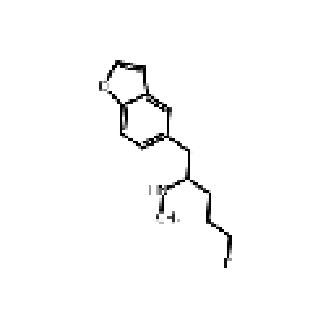 CNC(CCCF)Cc1ccc2occc2c1